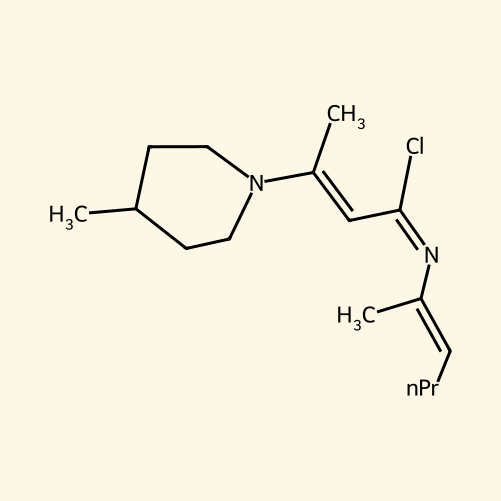 CCC/C=C(C)/N=C(Cl)\C=C(/C)N1CCC(C)CC1